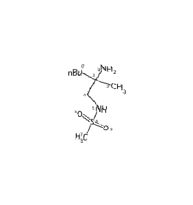 CCCCC(C)(N)CNS(C)(=O)=O